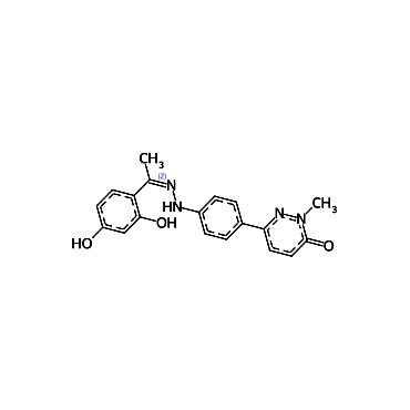 C/C(=N/Nc1ccc(-c2ccc(=O)n(C)n2)cc1)c1ccc(O)cc1O